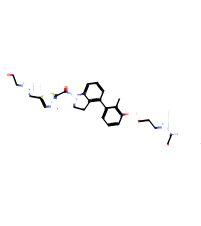 Cc1c(OCCCN[C@H](CO)C(=O)O)cccc1-c1cccc2c1CCN2C(=O)c1ncc(CNCCO)s1